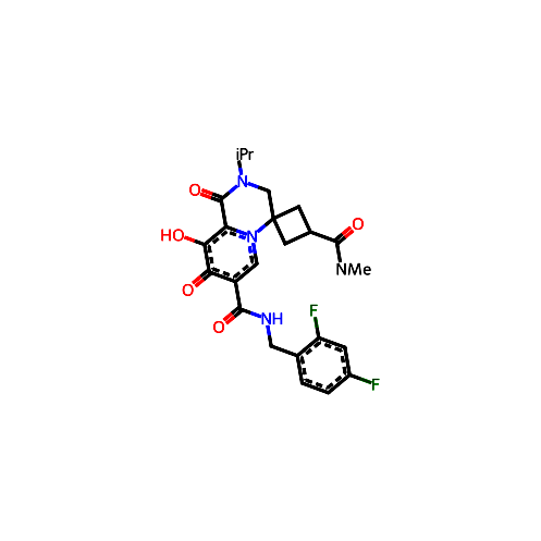 CNC(=O)C1CC2(C1)CN(C(C)C)C(=O)c1c(O)c(=O)c(C(=O)NCc3ccc(F)cc3F)cn12